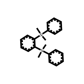 C[Si](C)(c1ccccc1)c1ccccc1[Si](C)(C)c1ccccc1